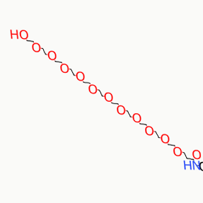 CNC(=O)CCOCCOCCOCCOCCOCCOCCOCCOCCOCCOCCOCCO